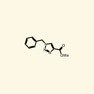 COC(=O)c1cn(Cc2ccccc2)nn1